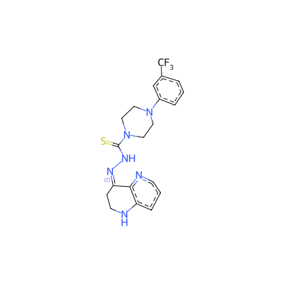 FC(F)(F)c1cccc(N2CCN(C(=S)N/N=C3/CCNc4cccnc43)CC2)c1